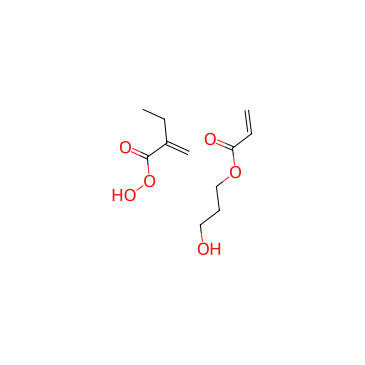 C=C(CC)C(=O)OO.C=CC(=O)OCCCO